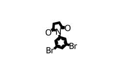 O=C1CCC(=O)N1c1cc(Br)cc(Br)c1